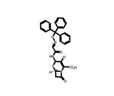 O=C(/C=N/OC(c1ccccc1)(c1ccccc1)c1ccccc1)NC1S[C@@H]2CC(=O)N2C(C(=O)O)=C1Cl